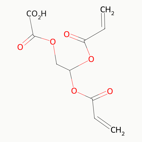 C=CC(=O)OC(COC(=O)C(=O)O)OC(=O)C=C